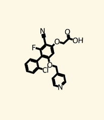 N#Cc1c(OCC(=O)O)cc(OCc2ccncc2)c(-c2ccccc2Cl)c1F